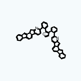 C1=c2c(ccc3c2=Cc2nc(-c4ccccc4-c4ccoc4-c4ccccc4-c4ccc5c(n4)C=c4c-5ccc5c4=Cc4ccccc4-5)ccc2-3)-c2ccccc21